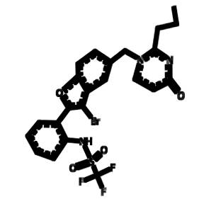 CCCc1nc(=O)ccn1Cc1ccc2oc(-c3ccccc3NS(=O)(=O)C(F)(F)F)c(Br)c2c1